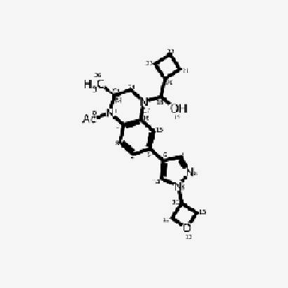 CC(=O)N1c2ccc(-c3cnn(C4COC4)c3)cc2N(C(O)C2CCC2)C[C@@H]1C